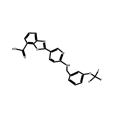 O=C(O)c1cccc2nc(-c3ccc(NCc4cccc(OC(F)(F)F)c4)nc3)oc12